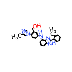 Cc1cn(-c2ccc(Nc3cccc4[nH]c(-c5ccccc5C)nc34)cc2CO)cn1